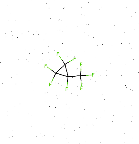 FC(F)(F)C1(F)C(F)(F)C1(F)F